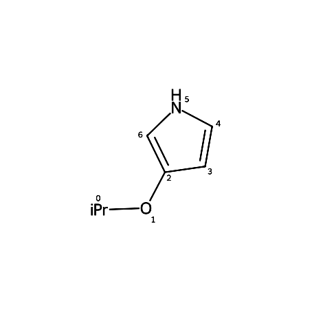 CC(C)Oc1cc[nH]c1